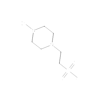 CCN1CCN(CCS(C)(=O)=O)CC1